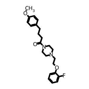 COc1ccc(CCCC(=O)N2CCN(CCOc3ccccc3F)CC2)cc1